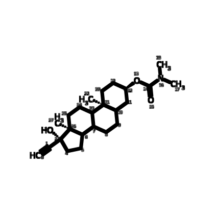 C#C[C@]1(O)CCC2C3CCC4C[C@H](OC(=O)N(C)C)CC[C@]4(C)C3CC[C@@]21C